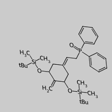 C=C1C(O[Si](C)(C)C(C)(C)C)CC(=CCP(=O)(c2ccccc2)c2ccccc2)CC1O[Si](C)(C)C(C)(C)C